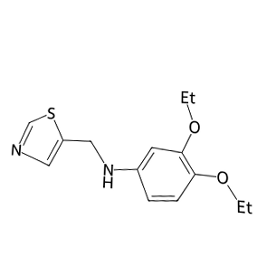 CCOc1ccc(NCc2cncs2)cc1OCC